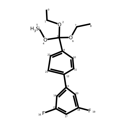 CCOC(O[SiH3])(OCC)c1ccc(-c2cc(F)cc(F)c2)cc1